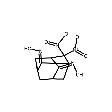 O=[N+]([O-])C1([N+](=O)[O-])C2CC3CC(CC1C3=NO)C2=NO